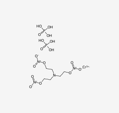 O=P(O)(O)O.O=P(O)(O)O.O=[N+]([O-])OCCN(CCO[N+](=O)[O-])CCO[N+](=O)[O-].[Cr+3]